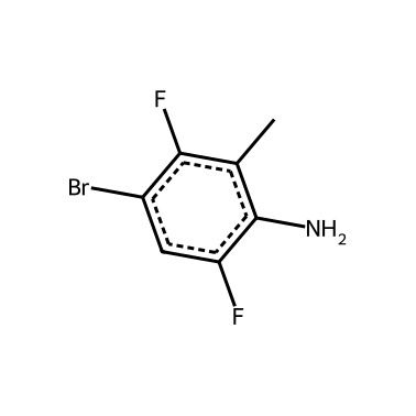 Cc1c(N)c(F)cc(Br)c1F